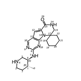 C[C@@H]1CCNC[C@H]1Nc1ncc2cc3n(c2n1)C1(CCCCC1)CNC3=O